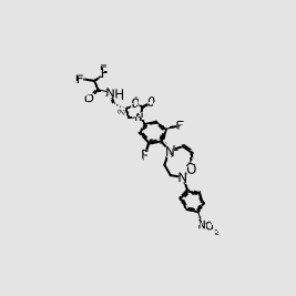 O=C(NC[C@H]1CN(c2cc(F)c(N3CCON(c4ccc([N+](=O)[O-])cc4)CC3)c(F)c2)C(=O)O1)C(F)F